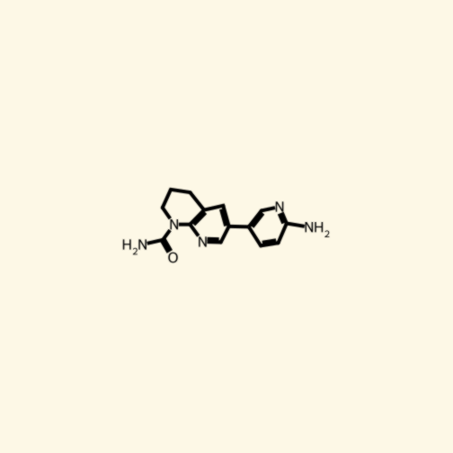 NC(=O)N1CCCc2cc(-c3ccc(N)nc3)cnc21